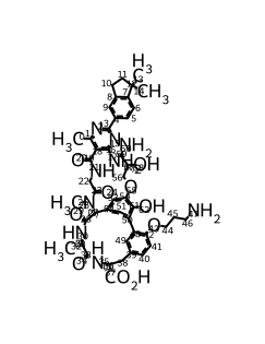 Cc1nc(-c2ccc3c(c2)CCC3(C)C)nc(N)c1C(=O)NCC(=O)N(C)[C@@H]1C(=O)N[C@@H](C)C(=O)N[C@H](C(=O)O)Cc2ccc(OCCCN)c(c2)-c2cc1cc(OC[C@H](O)CN)c2O